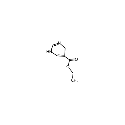 CCOC(=O)C1=CNC=NC1